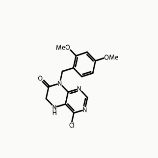 COc1ccc(CN2C(=O)CNc3c(Cl)ncnc32)c(OC)c1